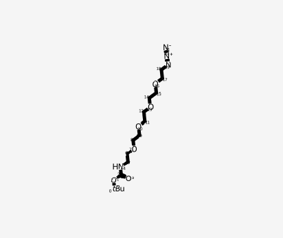 CC(C)(C)OC(=O)NCCOCCOCCOCCOCCN=[N+]=[N-]